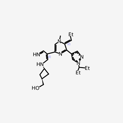 CC/C=C1/C(c2cnn(C(CC)CC)c2)=NC(/C(C=N)=C/N[C@H]2C[C@H](CO)C2)=CN1C